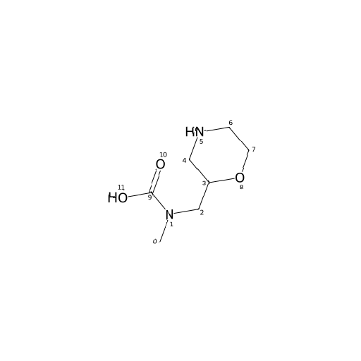 CN(CC1CNCCO1)C(=O)O